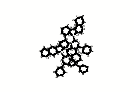 c1ccc(-c2cc3nc(-n4c5ccc(-c6cccc7c8c9ccccc9ccc8n(-c8nc(-c9ccccc9)c9c(ccc%10ccccc%109)n8)c67)cc5c5cc6ccccc6cc54)nc(-c4ccccc4)c3s2)cc1